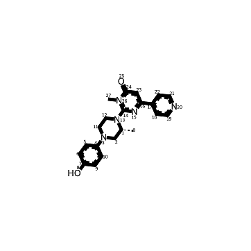 C[C@@H]1CN(c2ccc(O)cc2)CCN1c1nc(-c2ccncc2)cc(=O)n1C